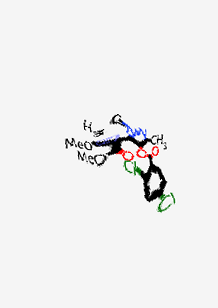 CO/C=C(\C(=O)OC)c1c(OC(=O)c2ccc(Cl)cc2Cl)c(C)nn1C